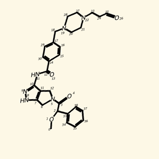 COC(C(=O)N1Cc2[nH]nc(NC(=O)c3ccc(CN4CCN(CCC=O)CC4)cc3)c2C1)c1ccccc1